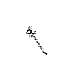 C#CCOCCOCCOCCNC(=O)c1cncc(C(C)=O)c1